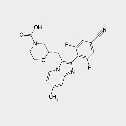 Cc1ccn2c(C[C@H]3CN(C(=O)O)CCO3)c(-c3c(F)cc(C#N)cc3F)nc2c1